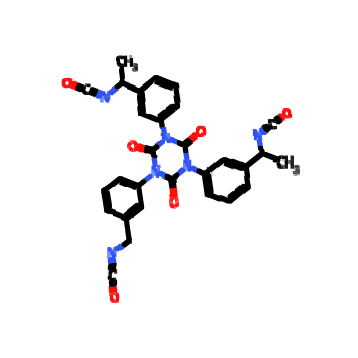 CC(N=C=O)c1cccc(-n2c(=O)n(-c3cccc(CN=C=O)c3)c(=O)n(-c3cccc(C(C)N=C=O)c3)c2=O)c1